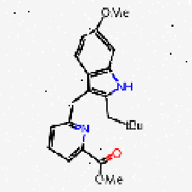 COC(=O)c1cccc(Cc2c(CC(C)(C)C)[nH]c3cc(OC)ccc23)n1